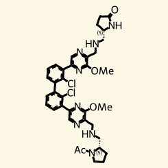 COc1nc(-c2cccc(-c3cccc(-c4cnc(CNC[C@@H]5CCCN5C(C)=O)c(OC)n4)c3Cl)c2Cl)cnc1CNC[C@@H]1CCC(=O)N1